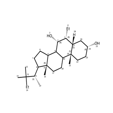 CC[C@H]1[C@@H](O)C2C3CCC([C@H](C)C(C)(C)CC)[C@@]3(C)CCC2[C@@]2(C)CC[C@@H](O)C[C@@H]12